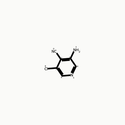 N#Cc1c(N)cncc1Cl